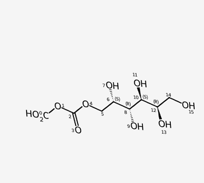 O=C(O)OC(=O)OC[C@H](O)[C@@H](O)[C@@H](O)[C@H](O)CO